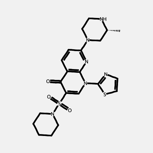 C[C@@H]1CN(c2ccc3c(=O)c(S(=O)(=O)N4CCCCC4)cn(-c4nccs4)c3n2)CCN1